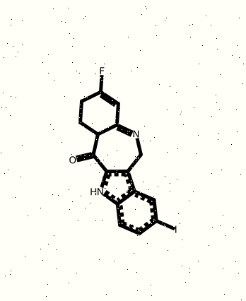 O=C1c2[nH]c3ccc(I)cc3c2CN=C2C=C(F)CCC12